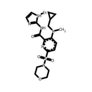 CC[SH]1C=CN=C1NC(=O)c1nc(S(=O)(=O)N2CCOCC2)ccc1N(C)CC1CC1